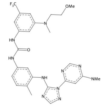 CNc1cc(-n2ncnc2Nc2cc(NC(=O)Nc3cc(N(C)CCOC)cc(C(F)(F)F)c3)ccc2C)ncn1